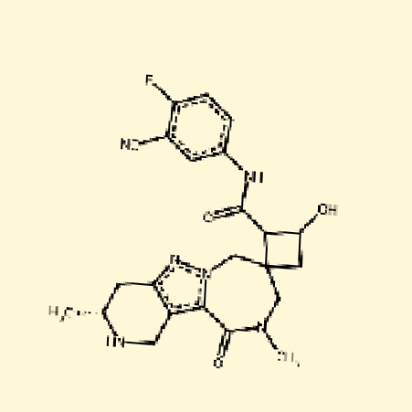 C[C@@H]1Cc2nn3c(c2CN1)C(=O)N(C)CC1(CC(O)C1C(=O)Nc1ccc(F)c(C#N)c1)C3